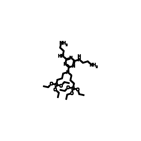 CCO[Si](CCCN(CCC[Si](OCC)(OCC)OCC)c1nc(NCCN)nc(NCCN)n1)(OCC)OCC